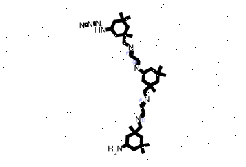 CC1(C)CC(N)CC(C)(C/N=C/C=N/CC2(C)CC(/N=C/C=N/CC3(C)CC(NN=[N+]=[N-])CC(C)(C)C3)CC(C)(C)C2)C1